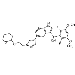 COc1cc(OC)c(F)c(C(O)c2c[nH]c3ncc(-c4cnn(CCOC5CCCCO5)c4)cc23)c1F